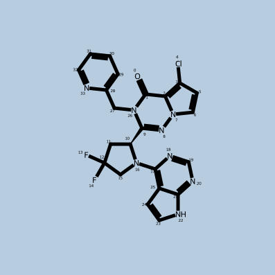 O=c1c2c(Cl)ccn2nc([C@@H]2CC(F)(F)CN2c2ncnc3[nH]ccc23)n1Cc1ccccn1